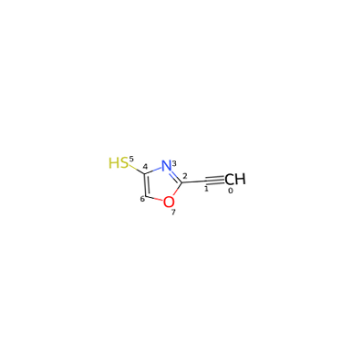 C#Cc1nc(S)co1